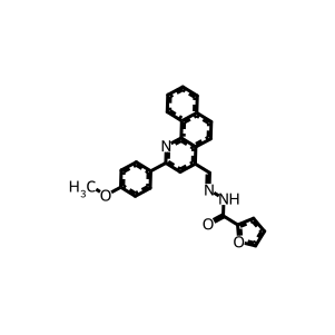 COc1ccc(-c2cc(/C=N/NC(=O)c3ccco3)c3ccc4ccccc4c3n2)cc1